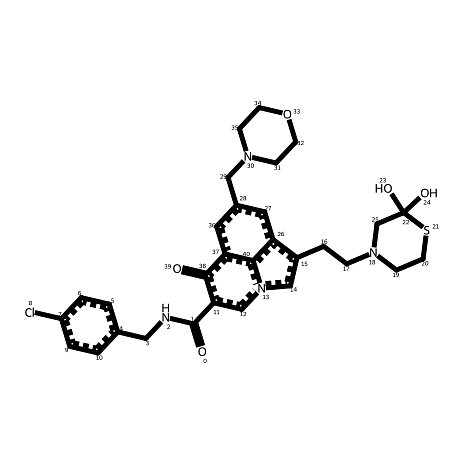 O=C(NCc1ccc(Cl)cc1)c1cn2cc(CCN3CCSC(O)(O)C3)c3cc(CN4CCOCC4)cc(c1=O)c32